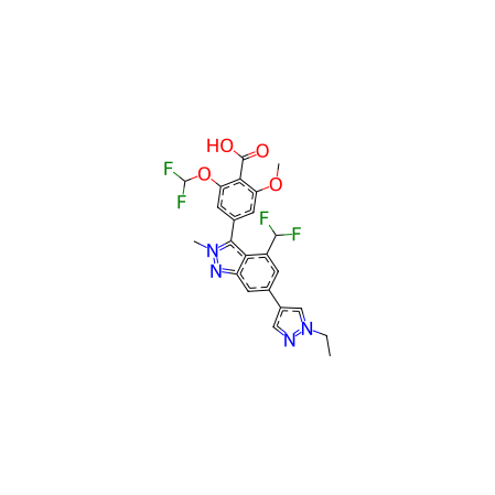 CCn1cc(-c2cc(C(F)F)c3c(-c4cc(OC)c(C(=O)O)c(OC(F)F)c4)n(C)nc3c2)cn1